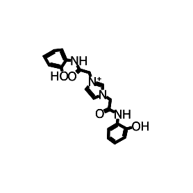 O=C(Cn1cc[n+](CC(=O)Nc2ccccc2O)c1)Nc1ccccc1O